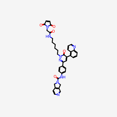 O=C(CN1C(=O)C=CC1=O)NCCCCCCn1nc(-c2ccc(NC(=O)N3Cc4ccncc4C3)cc2)cc(-c2cccc3ncccc23)c1=O